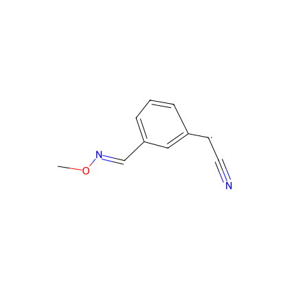 CON=Cc1cccc([CH]C#N)c1